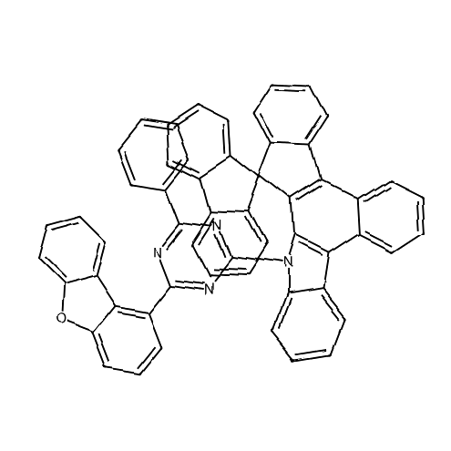 c1ccc(-c2nc(-c3cccc4oc5ccccc5c34)nc(-n3c4ccccc4c4c5ccccc5c5c(c43)C3(c4ccccc4-c4ccccc43)c3ccccc3-5)n2)cc1